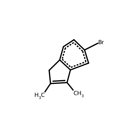 CC1=C(C)c2cc(Br)ccc2C1